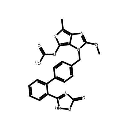 COc1nc2c(C)sc(OC(=O)O)c2n1Cc1ccc(-c2ccccc2-c2nc(=O)o[nH]2)cc1